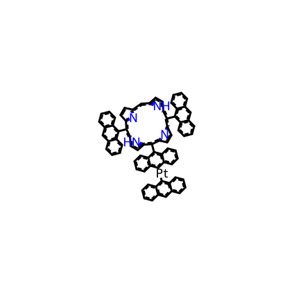 C1=Cc2nc1cc1ccc([nH]1)c(-c1c3ccccc3cc3ccccc13)c1nc(c(-c3c4ccccc4cc4ccccc34)c3ccc([nH]3)c2-c2c3ccccc3cc3ccccc23)C=C1.[Pt][c]1c2ccccc2cc2ccccc12